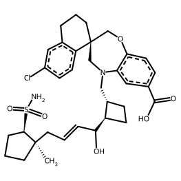 C[C@]1(C/C=C/C(O)[C@@H]2CC[C@H]2CN2C[C@@]3(CCCc4cc(Cl)ccc43)COc3ccc(C(=O)O)cc32)CCC[C@H]1S(N)(=O)=O